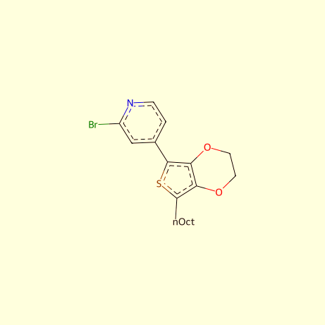 CCCCCCCCc1sc(-c2ccnc(Br)c2)c2c1OCCO2